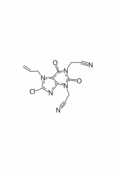 C=CCn1c(Cl)nc2c1c(=O)n(CC#N)c(=O)n2CC#N